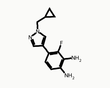 Nc1ccc(-c2cnn(CC3CC3)c2)c(F)c1N